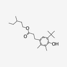 CCC(C)CCOC(=O)CCc1cc(C(C)(C)C)c(O)c(C)c1C